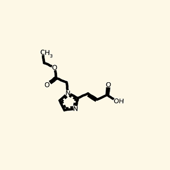 CCOC(=O)Cn1ccnc1/C=C/C(=O)O